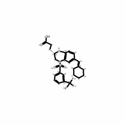 O=C(O)CC[C@H]1CN(S(=O)(=O)c2cccc(C(F)(F)F)c2)c2cc(C=C3CCCCC3)ccc2O1